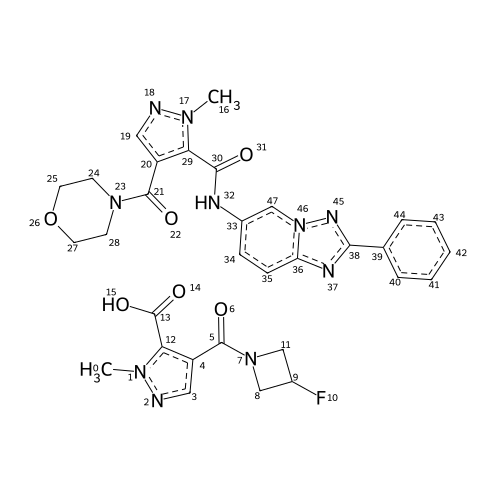 Cn1ncc(C(=O)N2CC(F)C2)c1C(=O)O.Cn1ncc(C(=O)N2CCOCC2)c1C(=O)Nc1ccc2nc(-c3ccccc3)nn2c1